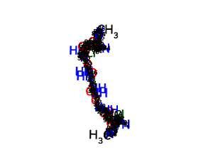 CN1CCCN([C@H]2Cc3c(C#N)cc(Cl)cc3[C@@H]2Oc2ccc(S(=O)(=O)N[C@@H]3CCN(CCOCCNC(=O)NCCCCNC(=O)NCCOCCN4CC[C@@H](NS(=O)(=O)c5ccc(O[C@H]6c7cc(Cl)cc(C#N)c7C[C@@H]6N6CCCN(C)CC6)cc5)C4)C3)cc2)CC1